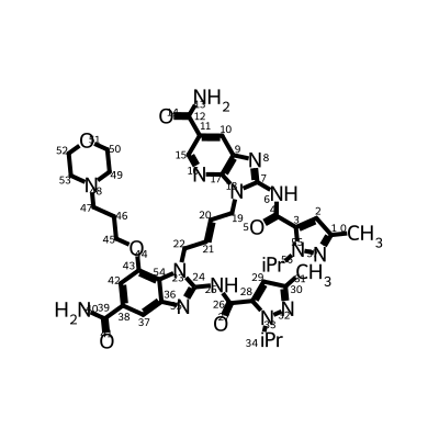 Cc1cc(C(=O)Nc2nc3cc(C(N)=O)cnc3n2C/C=C/Cn2c(NC(=O)c3cc(C)nn3C(C)C)nc3cc(C(N)=O)cc(OCCCN4CCOCC4)c32)n(C(C)C)n1